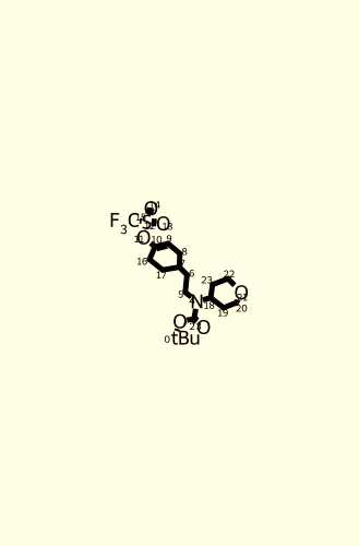 CC(C)(C)OC(=O)N(CCC1CC=C(OS(=O)(=O)C(F)(F)F)CC1)C1CCOCC1